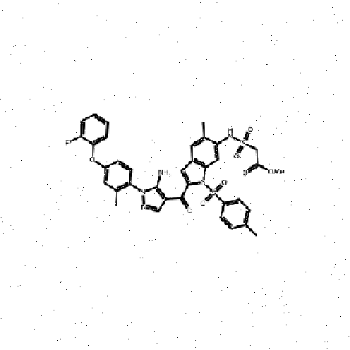 COC(=O)CS(=O)(=O)Nc1cc2c(cc1C)cc(C(=O)c1cnn(-c3ccc(Oc4ccccc4F)cc3C)c1N)n2S(=O)(=O)c1ccc(C)cc1